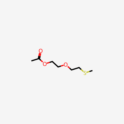 CSCCOCCOC(C)=O